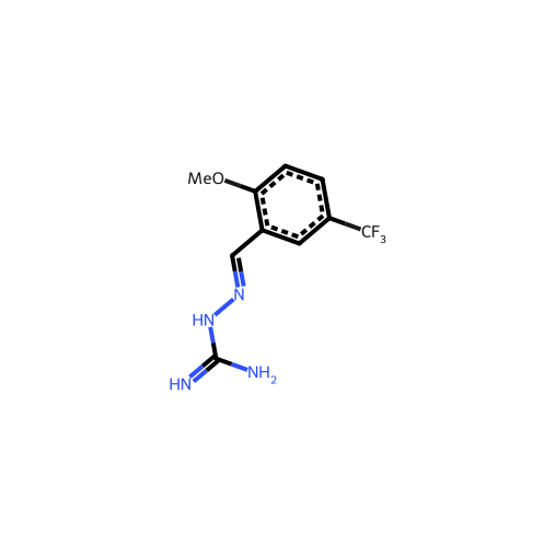 COc1ccc(C(F)(F)F)cc1C=NNC(=N)N